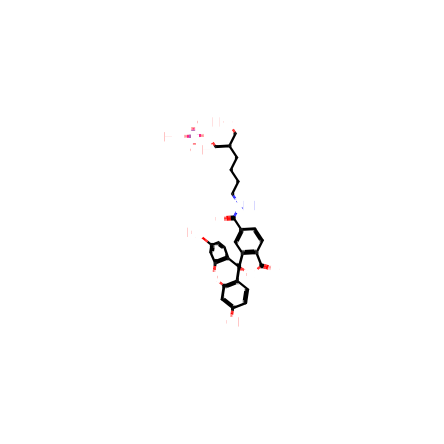 O=C(NCCCCC(CO)COP(=O)(O)O)c1ccc2c(c1)C1(OC2=O)c2ccc(O)cc2Oc2cc(O)ccc21